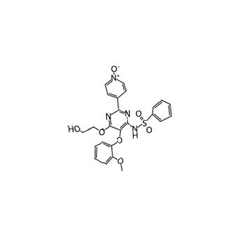 COc1ccccc1Oc1c(NS(=O)(=O)c2ccccc2)nc(-c2cc[n+]([O-])cc2)nc1OCCO